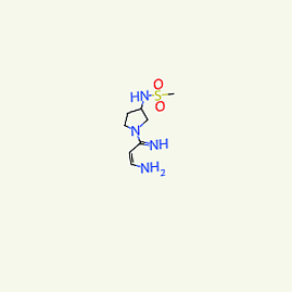 CS(=O)(=O)NC1CCN(C(=N)/C=C\N)C1